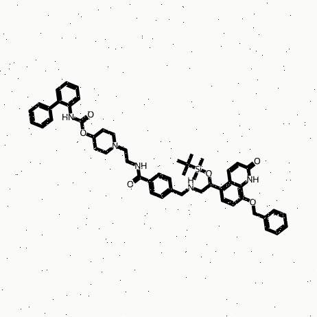 CC(C)(C)[Si](C)(C)OC(CNCc1ccc(C(=O)NCCN2CCC(OC(=O)Nc3ccccc3-c3ccccc3)CC2)cc1)c1ccc(OCc2ccccc2)c2[nH]c(=O)ccc12